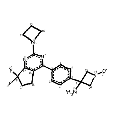 NC1(c2ccc(-c3nc(N4CCC4)nc4c3CCC4(F)F)cc2)C[S+]([O-])C1